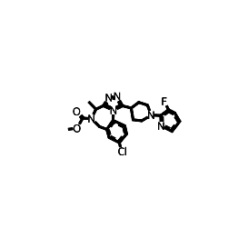 COC(=O)N1Cc2cc(Cl)ccc2-n2c(C3CCN(c4ncccc4F)CC3)nnc2C1C